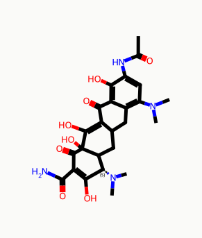 CC(=O)Nc1cc(N(C)C)c2c(c1O)C(=O)C1=C(O)C3(O)C(=O)C(C(N)=O)=C(O)[C@@H](N(C)C)C3CC1C2